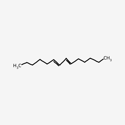 CCCCCC=CC=CCCCCC